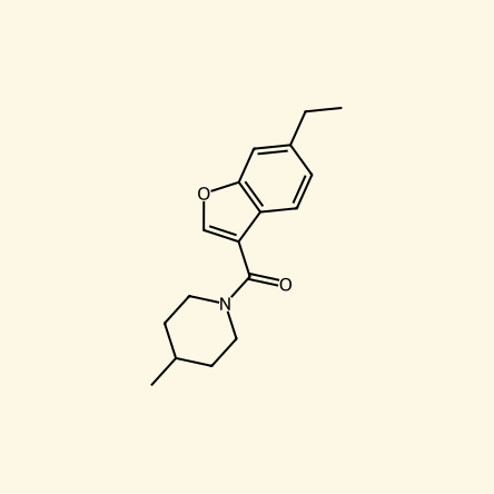 CCc1ccc2c(C(=O)N3CCC(C)CC3)coc2c1